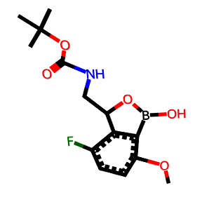 COc1ccc(F)c2c1B(O)OC2CNC(=O)OC(C)(C)C